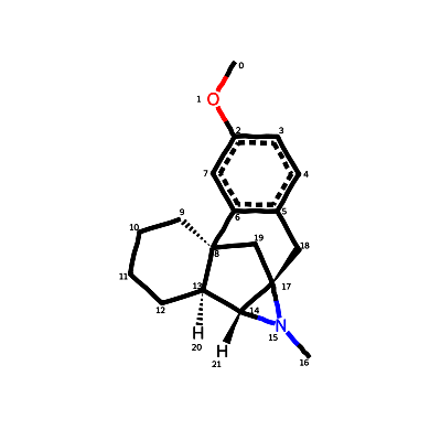 COc1ccc2c(c1)[C@]13CCCC[C@@H]1[C@H]1N(C)[C@@]1(C2)C3